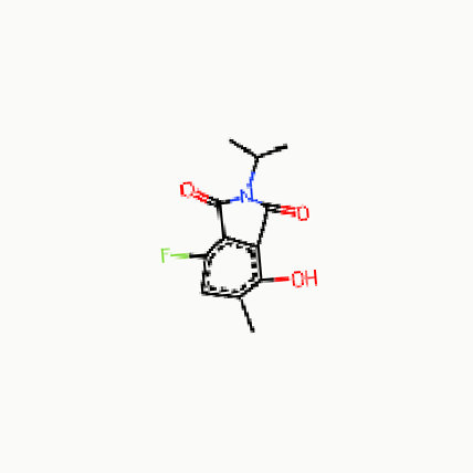 Cc1cc(F)c2c(c1O)C(=O)N(C(C)C)C2=O